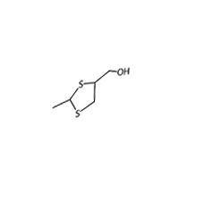 C[C]1SCC(CO)S1